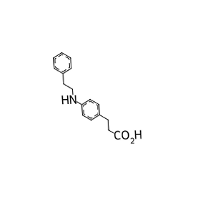 O=C(O)CCc1ccc(NCCc2ccccc2)cc1